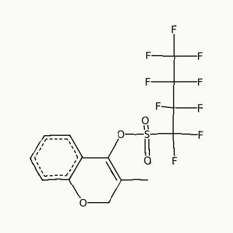 CC1=C(OS(=O)(=O)C(F)(F)C(F)(F)C(F)(F)C(F)(F)F)c2ccccc2OC1